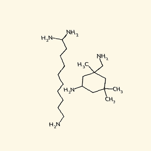 CC1(C)CC(N)CC(C)(CN)C1.NCCCCCCCCCC(N)N